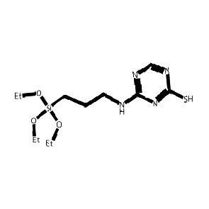 CCO[Si](CCCNc1ncnc(S)n1)(OCC)OCC